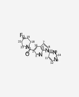 O=C(c1cnc2c(ccn2-c2ccncn2)c1)N1CCC(F)CC1